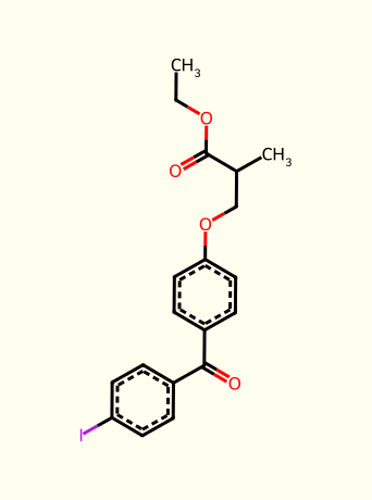 CCOC(=O)C(C)COc1ccc(C(=O)c2ccc(I)cc2)cc1